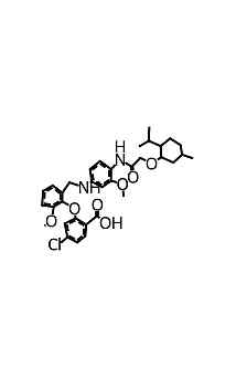 COc1cc(NCc2cccc(OC)c2Oc2cc(Cl)ccc2C(=O)O)ccc1NC(=O)COC1CC(C)CCC1C(C)C